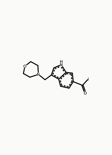 O=C(I)c1ccc2c(CN3CCOCC3)c[nH]c2c1